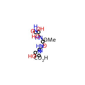 COc1cc(C(=O)NCc2ccc(-c3cccc(C(O)(C(=O)O)c4ccccc4)c3)nn2)ccc1CNCC(O)c1ccc(O)c2[nH]c(=O)ccc12